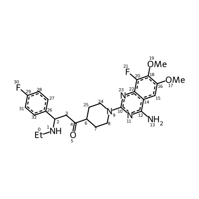 CCNC(CC(=O)C1CCN(c2nc(N)c3cc(OC)c(OC)c(F)c3n2)CC1)c1ccc(F)cc1